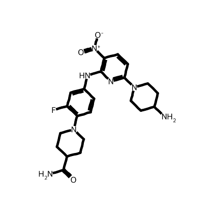 NC(=O)C1CCN(c2ccc(Nc3nc(N4CCC(N)CC4)ccc3[N+](=O)[O-])cc2F)CC1